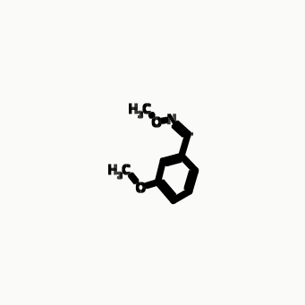 CO/N=[C]\c1cccc(OC)c1